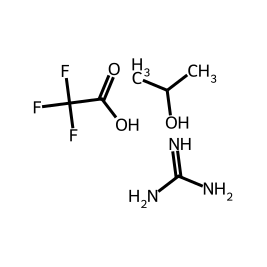 CC(C)O.N=C(N)N.O=C(O)C(F)(F)F